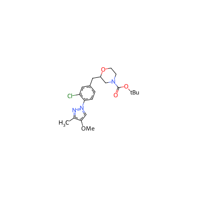 COc1cn(-c2ccc(CC3CN(C(=O)OC(C)(C)C)CCO3)cc2Cl)nc1C